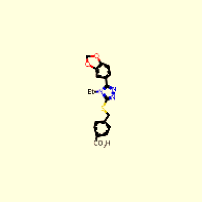 CCn1c(SCc2ccc(C(=O)O)cc2)nnc1-c1ccc2c(c1)OCO2